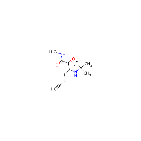 C#CCCC(NC(C)(C)C)C(=O)C(=O)NC